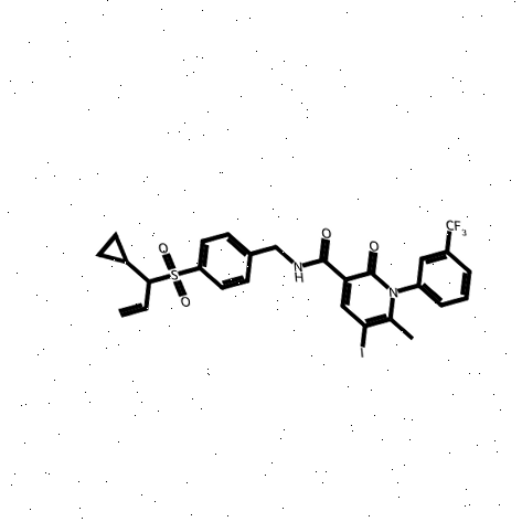 C=CC(C1CC1)S(=O)(=O)c1ccc(CNC(=O)c2cc(I)c(C)n(-c3cccc(C(F)(F)F)c3)c2=O)cc1